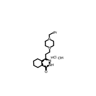 CC(C)CN1CCN(CCc2n[nH]c(=O)c3c2CCCC3)CC1.Cl.Cl